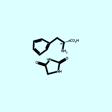 N[C@H](Cc1ccccc1)C(=O)O.O=C1CNC(=O)N1